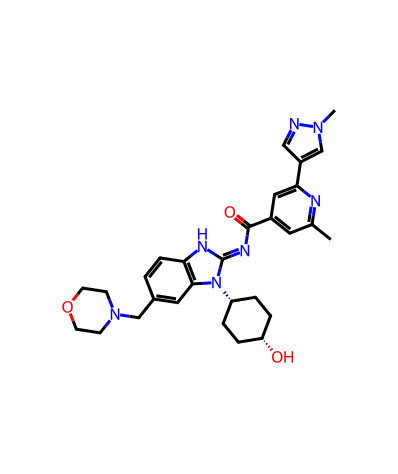 Cc1cc(C(=O)/N=c2\[nH]c3ccc(CN4CCOCC4)cc3n2[C@H]2CC[C@@H](O)CC2)cc(-c2cnn(C)c2)n1